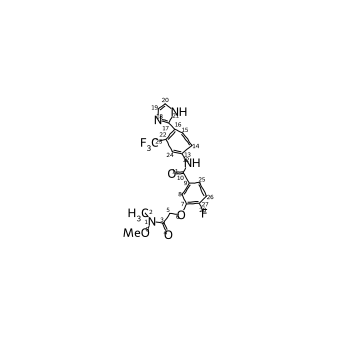 CON(C)C(=O)COc1cc(C(=O)Nc2ccc(-c3ncc[nH]3)c(C(F)(F)F)c2)ccc1F